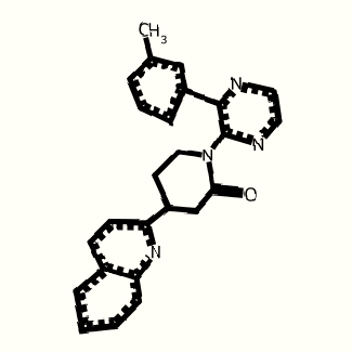 Cc1cccc(-c2nccnc2N2CCC(c3ccc4ccccc4n3)CC2=O)c1